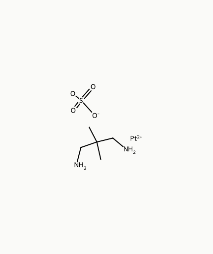 CC(C)(CN)CN.O=S(=O)([O-])[O-].[Pt+2]